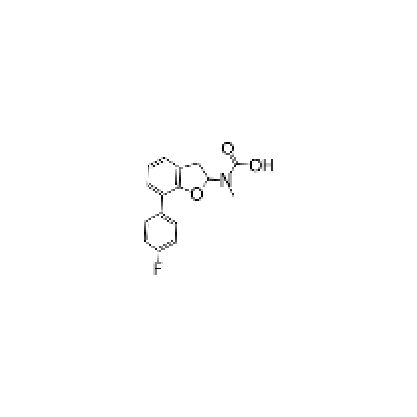 CN(C(=O)O)C1Cc2cccc(-c3ccc(F)cc3)c2O1